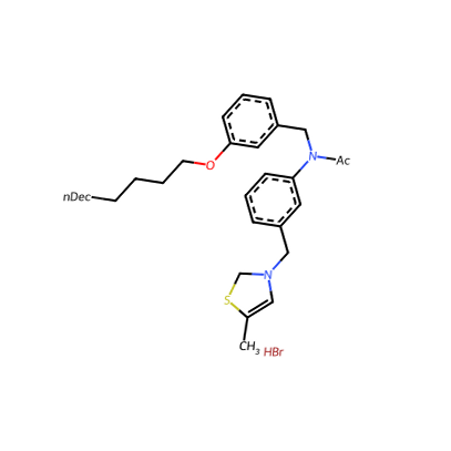 Br.CCCCCCCCCCCCCCOc1cccc(CN(C(C)=O)c2cccc(CN3C=C(C)SC3)c2)c1